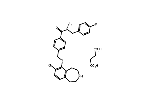 O=C(O)CCC(=O)O.O=C(c1ccc(CSc2c(Cl)ccc3c2CCNCC3)cc1)N(Cc1ccc(F)cc1)C(F)(F)F